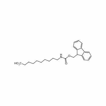 O=C(O)CCCCCCCCCNC(=O)OCC1c2ccccc2-c2ccccc21